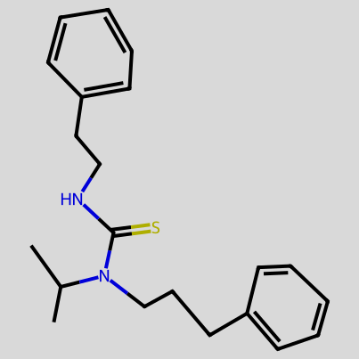 CC(C)N(CCCc1ccccc1)C(=S)NCCc1ccccc1